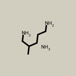 CC(CN)CCCN.N